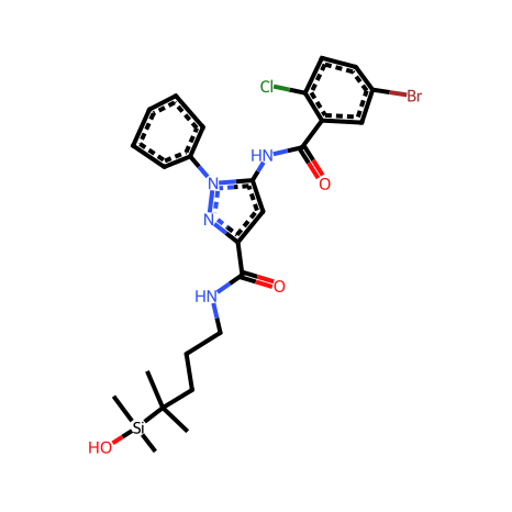 CC(C)(CCCNC(=O)c1cc(NC(=O)c2cc(Br)ccc2Cl)n(-c2ccccc2)n1)[Si](C)(C)O